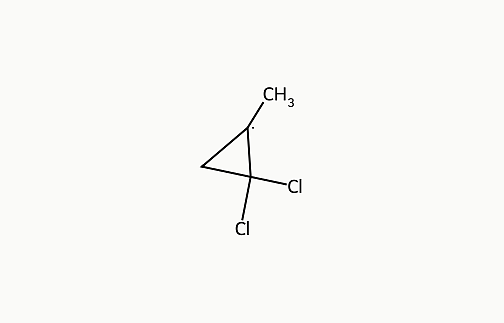 C[C]1CC1(Cl)Cl